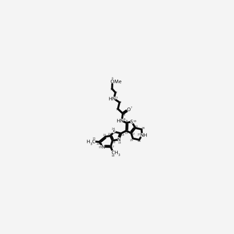 COCCNCCC(=O)Nc1sc2c(c1-c1nc3c(C)nc(C)cc3s1)CCNC2